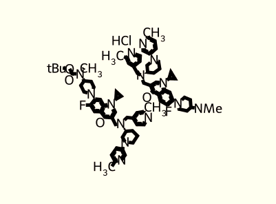 CNC1CCN(c2cc3c(cc2F)c(=O)c(CN(Cc2ccnc(C)c2)[C@H]2CCCN(c4ccc(C)nc4)C2)cn3C2CC2)CC1.Cc1ccc(N2CCC[C@H](N(Cc3ccnc(C)c3)Cc3cn(C4CC4)c4cc(N5CCC(N(C)C(=O)OC(C)(C)C)CC5)c(F)cc4c3=O)C2)cn1.Cl